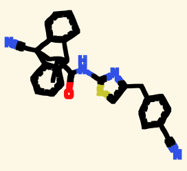 CC1(C(=O)Nc2nc(Cc3ccc(C#N)cc3)cs2)CC2(C#N)c3ccccc3C1c1ccccc12